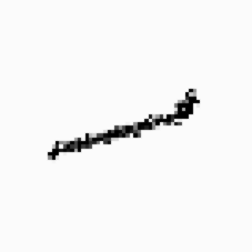 CC(=O)c1ccc(OCCCCOCCOCCOCCOCCOCCOCCN=[N+]=[N-])cc1